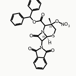 C[C@@]1(O[N+](=O)[O-])CS[C@H]2C(N3C(=O)c4ccccc4C3=O)C(=O)N2C1C(=O)OC(c1ccccc1)c1ccccc1